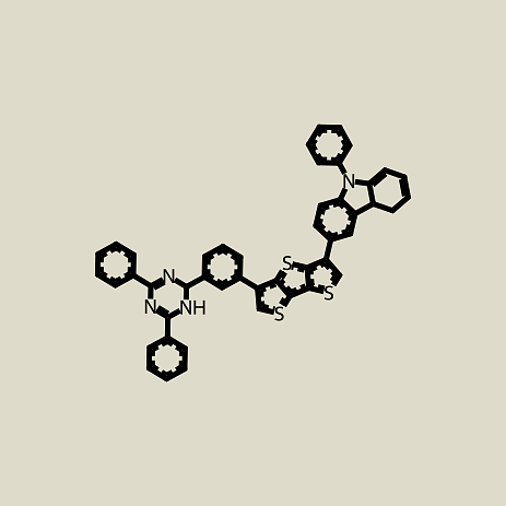 C1=CCC2C(=C1)N(c1ccccc1)c1ccc(-c3csc4c3sc3c(-c5cccc(C6N=C(c7ccccc7)N=C(c7ccccc7)N6)c5)csc34)cc12